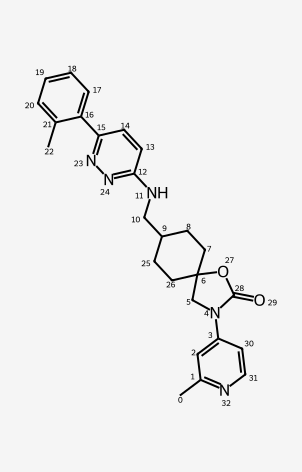 Cc1cc(N2CC3(CCC(CNc4ccc(-c5ccccc5C)nn4)CC3)OC2=O)ccn1